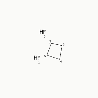 F.F.[CH]1CCC1